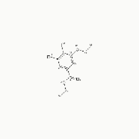 CCOC(=O)c1cc(Cl)c(I)c(OCC)c1